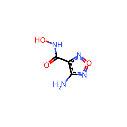 Nc1nonc1C(=O)NO